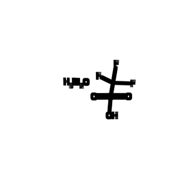 O.O=S(=O)(O)C(F)(F)F.[BiH3]